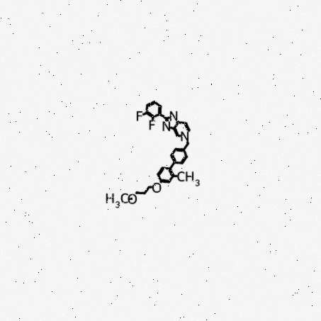 COCCCOc1ccc(-c2ccc(Cn3ccc4nc(-c5cccc(F)c5F)nc-4c3)cc2)c(C)c1